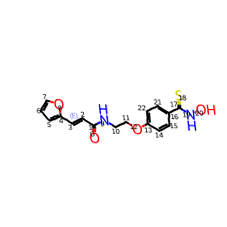 O=C(/C=C/c1ccco1)NCCOc1ccc(C(=S)NO)cc1